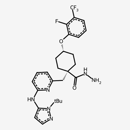 CC(C)(C)n1nccc1Nc1cccc(C[C@]2(C(=O)NN)CC[C@H](Oc3cccc(C(F)(F)F)c3F)CC2)n1